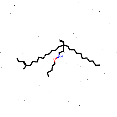 C=CC(CCCCCCCCCCC)(CCCCCCCCCCC(C)=CCC)CCNOCCCCC